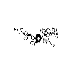 CCOC(=O)COc1ccc(N(C)C(=O)OC(C)(C)C)cc1Cl